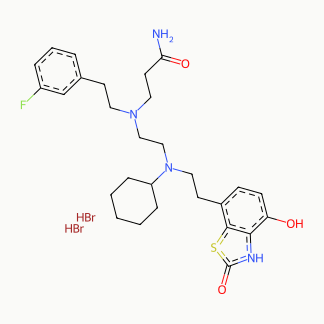 Br.Br.NC(=O)CCN(CCc1cccc(F)c1)CCN(CCc1ccc(O)c2[nH]c(=O)sc12)C1CCCCC1